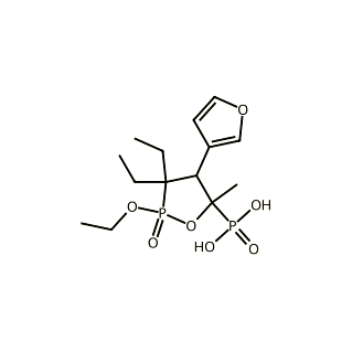 CCOP1(=O)OC(C)(P(=O)(O)O)C(c2ccoc2)C1(CC)CC